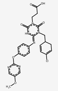 COc1cnc(Oc2ccc(/N=c3\[nH]c(=O)n(CCC(=O)O)c(=O)n3CC3C=CC(Cl)=CC3)cc2)nc1